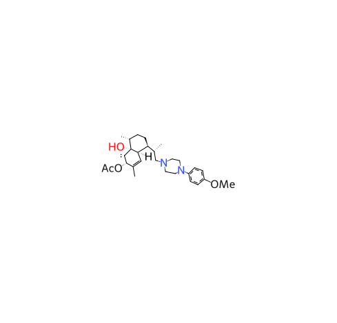 COc1ccc(N2CCN(C[C@@H](C)[C@@H]3CC[C@@H](C)[C@]4(O)[C][C@@H](OC(C)=O)C(C)=C[C@H]34)CC2)cc1